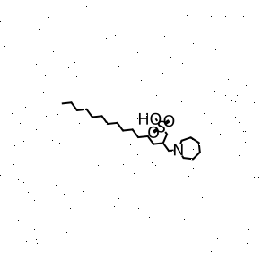 CCCCCCCCCCCCCC(CN1CCCCCC1)CS(=O)(=O)O